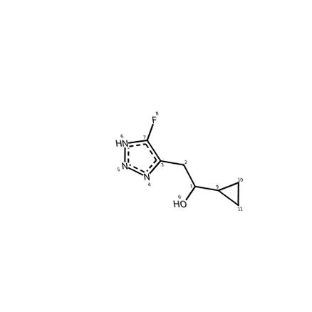 OC(Cc1nn[nH]c1F)C1CC1